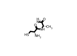 C[C@H](NC(=O)[C@H](N)CS)C(N)=O